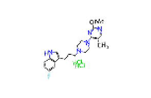 COc1ncc(C)c(N2CCN(CCCc3c[nH]c4ccc(F)cc34)CC2)n1.Cl.Cl